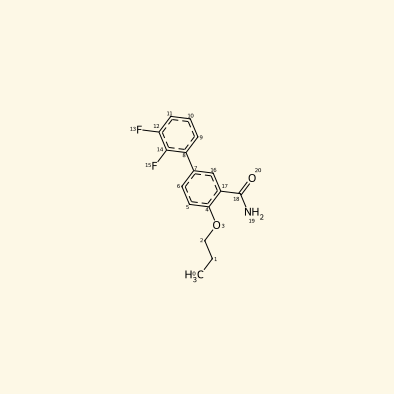 CCCOc1ccc(-c2cccc(F)c2F)cc1C(N)=O